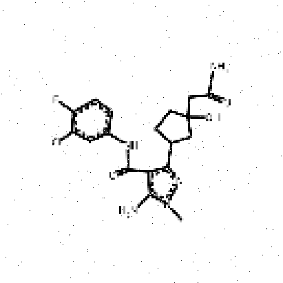 Cn1nc(C2CCC(O)(CC(N)=O)C2)c(C(=O)Nc2ccc(F)c(Cl)c2)c1N